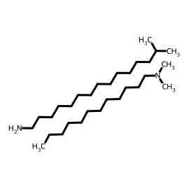 CC(C)CCCCCCCCCCCCCN.CCCCCCCCCCCCN(C)C